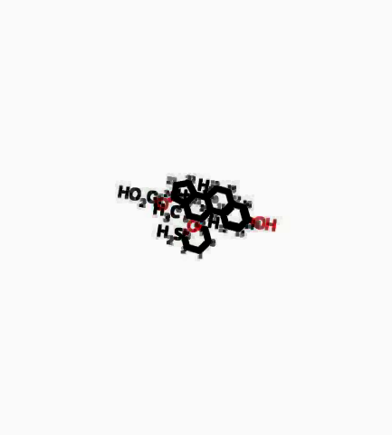 C1CC[SiH2]OC1.C[C@]12CC[C@@H]3c4ccc(O)cc4CC[C@H]3[C@@H]1CC[C@@H]2OC(=O)O